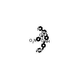 Cc1ccc(NC(=O)c2ccc(CN3CCN(C)CC3)cc2)cc1N(C(=O)Oc1ccc([N+](=O)[O-])cc1)c1nccc(-c2cccnc2)n1